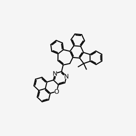 CC1(C)c2ccccc2-c2c1c1c(c3ccccc23)-c2ccccc2C=C(c2ncc3c(n2)-c2cccc4cccc(c24)O3)C1